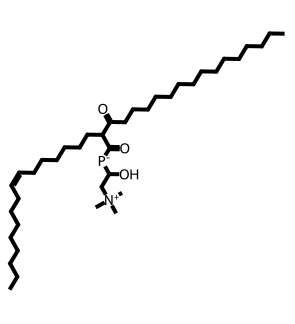 CCCCCCCC/C=C\CCCCCCC(C(=O)CCCCCCCCCCCCCCC)C(=O)[P-]C(O)C[N+](C)(C)C